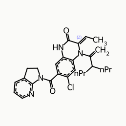 C=C(C(CCC)CCC)N1/C(=C\C)C(=O)Nc2cc(C(=O)N3CCc4cccnc43)c(Cl)cc21